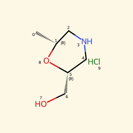 C[C@@H]1CNC[C@H](CO)O1.Cl